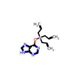 C=CC[Si](CC=C)(CC=C)Oc1ncnc2[nH]cnc12